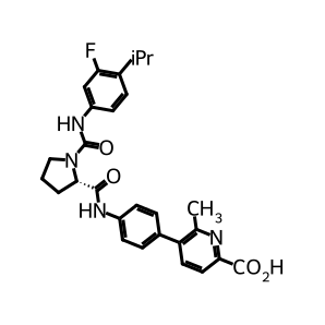 Cc1nc(C(=O)O)ccc1-c1ccc(NC(=O)[C@@H]2CCCN2C(=O)Nc2ccc(C(C)C)c(F)c2)cc1